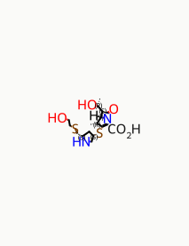 C[C@@H](O)[C@H]1C(=O)N2C(C(=O)O)=C(S[C@@H]3CN[C@H](CSCCO)C3)[C@H](C)[C@H]12